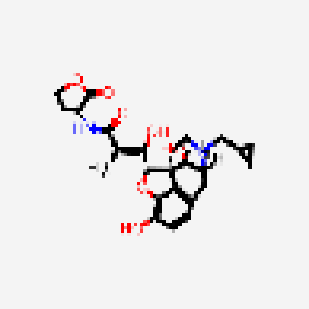 C/C(C(=O)N[C@@H]1CCOC1=O)=C(/O)[C@@H]1Oc2c(O)ccc3c2[C@@]12CCN(CC1CC1)[C@H](C3)[C@@]2(C)O